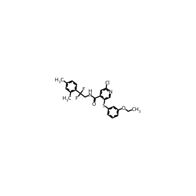 CCOc1cccc(Sc2cnc(Cl)cc2C(=O)NCC(F)(F)c2ccc(C)cc2C)c1